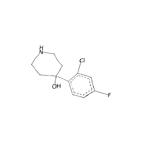 OC1(c2ccc(F)cc2Cl)CCNCC1